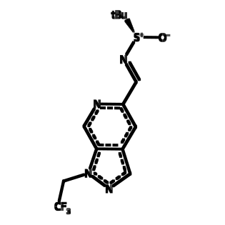 CC(C)(C)[S@@+]([O-])/N=C/c1cc2cnn(CC(F)(F)F)c2cn1